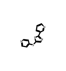 c1cncc(-c2ncc(Sc3ccncc3)s2)c1